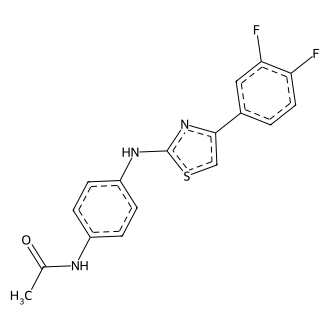 CC(=O)Nc1ccc(Nc2nc(-c3ccc(F)c(F)c3)cs2)cc1